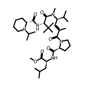 COC(=O)[C@H](CC(C)C)NC(=O)[C@@H]1CCCN1C(=O)/C(C)=C/[C@H](C(C)C)N(C)C(=O)[C@@H](NC(=O)[C@H]1CCCCN1C(C)C)C(C)(C)C